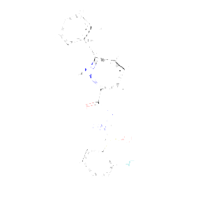 O=C(NN[S+]([O-])c1ccccc1F)c1cccc(-c2ccccc2)n1